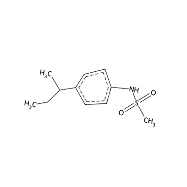 CCC(C)c1ccc(NS(C)(=O)=O)cc1